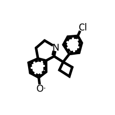 [O]c1ccc2c(c1)C(C1(c3ccc(Cl)cc3)CCC1)=NCC2